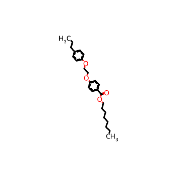 CCCCCCCCOC(=O)c1ccc(OCCOc2ccc(CCC)cc2)cc1